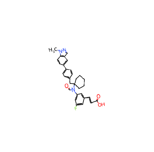 Cn1ncc2cc(-c3ccc(CC4(N(C=O)c5cc(F)cc(/C=C/C(=O)O)c5)CCCCC4)cc3)ccc21